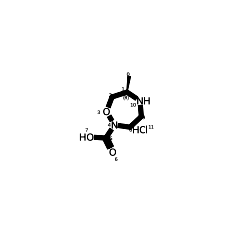 C[C@@H]1CON(C(=O)O)CCN1.Cl